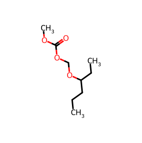 CCCC(CC)OCOC(=O)OC